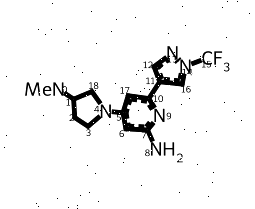 CNC1CCN(c2cc(N)nc(-c3cnn(C(F)(F)F)c3)c2)C1